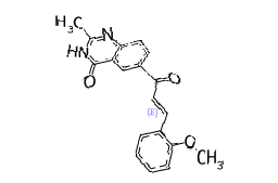 COc1ccccc1/C=C/C(=O)c1ccc2nc(C)[nH]c(=O)c2c1